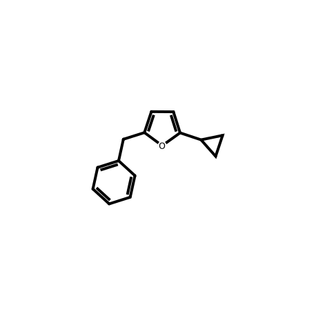 c1ccc(Cc2ccc(C3CC3)o2)cc1